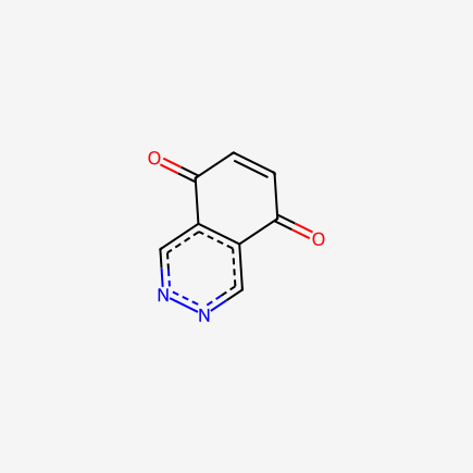 O=C1C=CC(=O)c2cnncc21